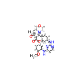 COc1ccccc1Nc1ccnc(Nc2ccc3c(N4CCOCC4)c(C(C)=O)c(=O)oc3c2)n1